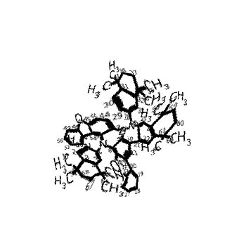 Cc1cc2c(cc1N1c3c4c(cc5c3oc3ccccc35)-c3cc5c(cc3N(c3ccc6c(c3)C(C)(C)CCC6(C)C)B4c3ccc4oc6ccccc6c4c31)C(C)(C)CCC5(C)C)C(C)(C)CCC2(C)C